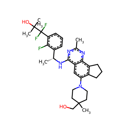 Cc1nc(N[C@H](C)c2cccc(C(F)(F)C(C)(C)O)c2F)c2cc(N3CCC(C)(CO)CC3)c3c(c2n1)CCC3